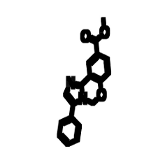 COC(=O)c1ccc2c(c1)-c1ncc(-c3ccccc3)n1CO2